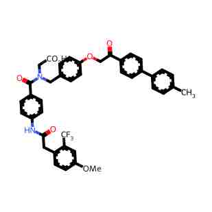 COc1ccc(CC(=O)Nc2ccc(C(=O)N(CC(=O)O)Cc3ccc(OCC(=O)c4ccc(-c5ccc(C)cc5)cc4)cc3)cc2)c(C(F)(F)F)c1